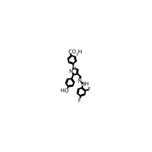 O=C(O)c1ccc(-n2cc(/C=N/Nc3ccc(F)cc3F)c(-c3ccc(O)cc3)n2)cc1